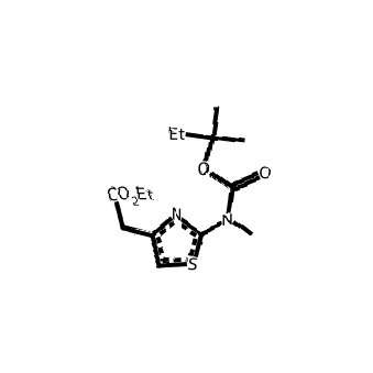 CCOC(=O)Cc1csc(N(C)C(=O)OC(C)(C)CC)n1